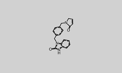 O=C1C=CCN1Cc1ccc(Cn2c(=O)[nH]c3ccccc32)cc1